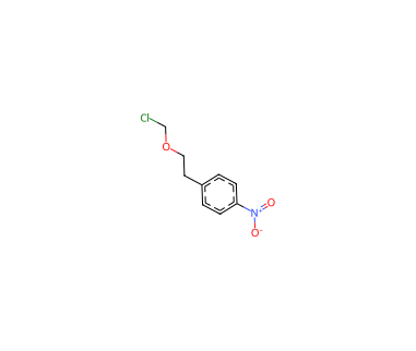 O=[N+]([O-])c1ccc(CCOCCl)cc1